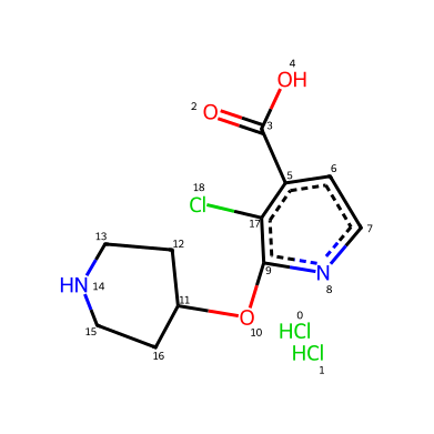 Cl.Cl.O=C(O)c1ccnc(OC2CCNCC2)c1Cl